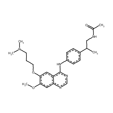 COc1cc2ncnc(Nc3ccc(C(C)CNC(C)=O)cc3)c2cc1OCCCN(C)C